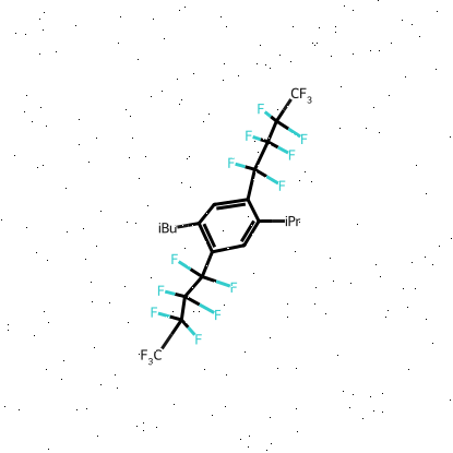 CCC(C)c1cc(C(F)(F)C(F)(F)C(F)(F)C(F)(F)F)c(C(C)C)cc1C(F)(F)C(F)(F)C(F)(F)C(F)(F)F